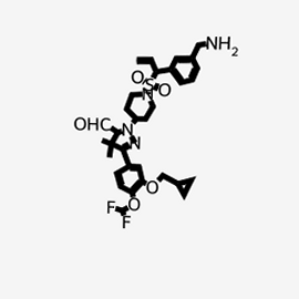 C=CC(c1cccc(CN)c1)S(=O)(=O)N1CCC(N2N=C(c3ccc(OC(F)F)c(OCC4CC4)c3)C(C)(C)C2C=O)CC1